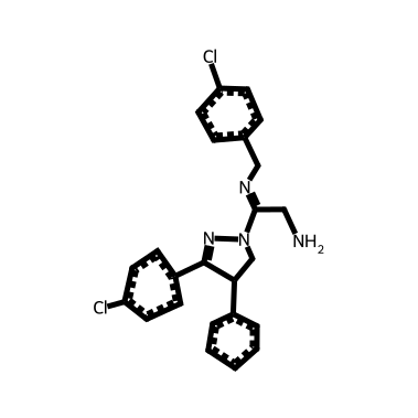 NC/C(=N\Cc1ccc(Cl)cc1)N1CC(c2ccccc2)C(c2ccc(Cl)cc2)=N1